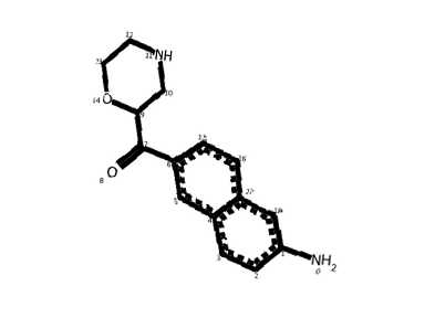 Nc1ccc2cc(C(=O)C3CNCCO3)ccc2c1